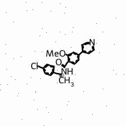 COc1cc(-c2ccncc2)ccc1C(=O)N[C@@H](C)c1ccc(Cl)cc1